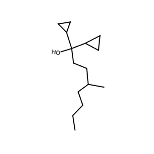 CCCCC(C)CCC(O)(C1CC1)C1CC1